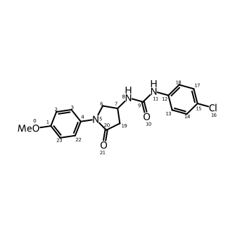 COc1ccc(N2CC(NC(=O)Nc3ccc(Cl)cc3)CC2=O)cc1